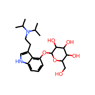 CC(C)N(CCc1c[nH]c2cccc(OC3OC(CO)C(O)C(O)C3O)c12)C(C)C